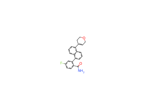 NC(=O)c1ccc(F)cc1-c1cccc2c(C3=CCOCC3)cccc12